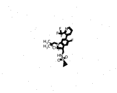 CC(C)(C)Cn1cc(CNS(=O)(=O)C2CC2)c2cc(F)c(-c3cccnc3C(F)(F)F)cc21